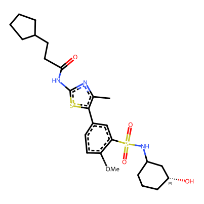 COc1ccc(-c2sc(NC(=O)CCC3CCCC3)nc2C)cc1S(=O)(=O)NC1CCC[C@@H](O)C1